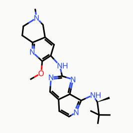 COc1nc2c(cc1Nc1ncc3ccnc(N[C@@H](C)C(C)(C)C)c3n1)CN(C)CC2